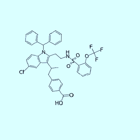 CC(Cc1ccc(C(=O)O)cc1)c1c(CCNS(=O)(=O)c2ccccc2OC(F)(F)F)n(C(c2ccccc2)c2ccccc2)c2ccc(Cl)cc12